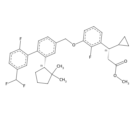 COC(=O)C[C@H](c1cccc(OCc2ccc(-c3cc(C(F)F)ccc3F)c([C@H]3CCCC3(C)C)c2)c1F)C1CC1